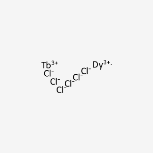 [Cl-].[Cl-].[Cl-].[Cl-].[Cl-].[Cl-].[Dy+3].[Tb+3]